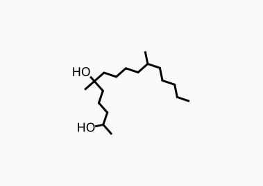 CCCCCC(C)CCCCC(C)(O)CCCC(C)O